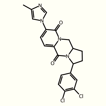 Cc1cn(-c2ccc3n(c2=O)CC2CCC(c4ccc(Cl)c(Cl)c4)N2C3=O)cn1